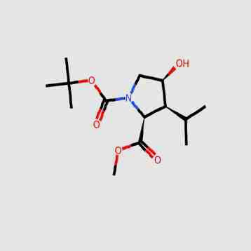 COC(=O)[C@@H]1[C@H](C(C)C)[C@H](O)CN1C(=O)OC(C)(C)C